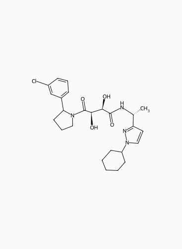 C[C@@H](NC(=O)[C@H](O)[C@@H](O)C(=O)N1CCCC1c1cccc(Cl)c1)c1ccn(C2CCCCC2)n1